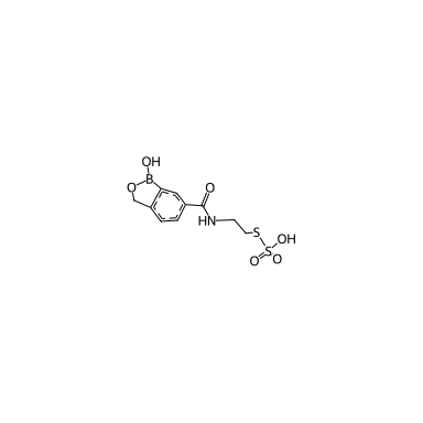 O=C(NCCSS(=O)(=O)O)c1ccc2c(c1)B(O)OC2